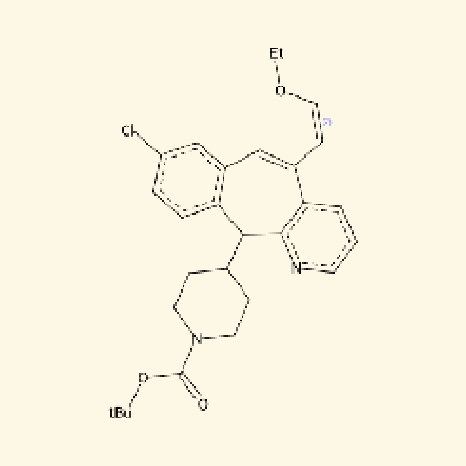 CCO/C=C\C1=Cc2cc(Cl)ccc2C(C2CCN(C(=O)OC(C)(C)C)CC2)c2ncccc21